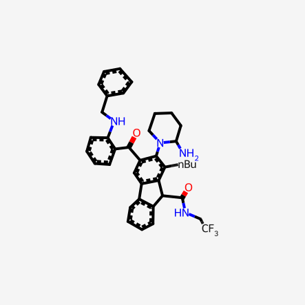 CCCCc1c2c(cc(C(=O)c3ccccc3NCc3ccccc3)c1N1CCCCC1N)-c1ccccc1C2C(=O)NCC(F)(F)F